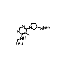 CN[C@@H]1CCN(c2ncnc(NCC(C)(C)C)c2C)C1